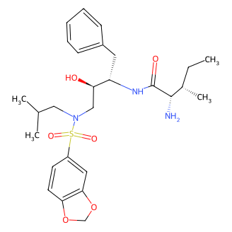 CC[C@H](C)[C@H](N)C(=O)N[C@@H](Cc1ccccc1)[C@H](O)CN(CC(C)C)S(=O)(=O)c1ccc2c(c1)OCO2